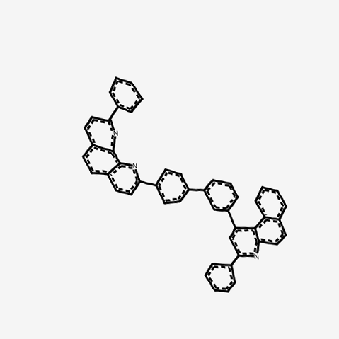 c1ccc(-c2cc(-c3cccc(-c4ccc(-c5ccc6ccc7ccc(-c8ccccc8)nc7c6n5)cc4)c3)c3c(ccc4ccccc43)n2)cc1